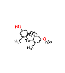 CCCCOc1cc(C)c([Te]c2c(C)cc(O)cc2C)c(C)c1